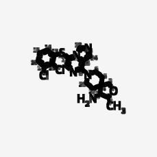 C[C@@H]1OCC2(CCN(c3ncc(Sc4cccc(Cl)c4Cl)n4cncc34)CC2)[C@@H]1N